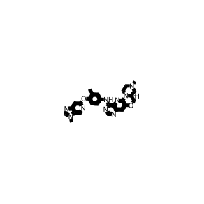 Cc1cc(Nc2ncnc3cc4c(nc23)N2CCN(C)C[C@H]2CO4)ccc1Oc1cc2ncn(C)c2cn1